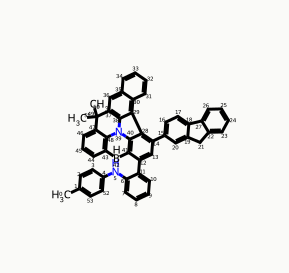 Cc1ccc(Nc2ccccc2-c2cc(-c3ccc4c(c3)Cc3ccccc3-4)c3c4c5ccccc5cc5c4n4c3c2Bc2cccc(c2-4)C5(C)C)cc1